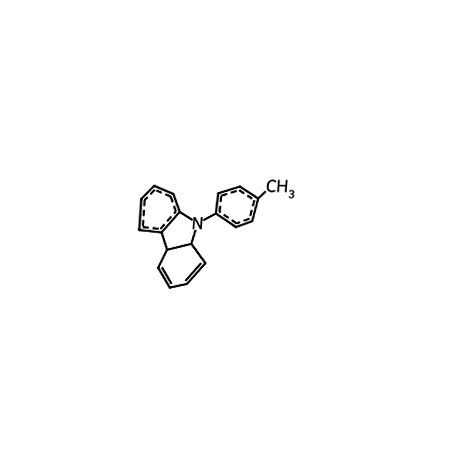 Cc1ccc(N2c3ccccc3C3C=CC=CC32)cc1